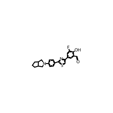 O=Cc1cc(-c2csc(-c3ccc(N4CC5CCCC5C4)cc3)n2)cc(F)c1O